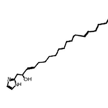 CCCCCCCCCCCCCCCC=CC(O)Cc1ncc[nH]1